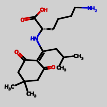 CC(C)CC(N[C@@H](CCCCN)C(=O)O)=C1C(=O)CC(C)(C)CC1=O